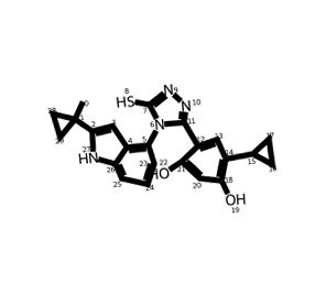 CC1(c2cc3c(-n4c(S)nnc4-c4cc(C5CC5)c(O)cc4O)cccc3[nH]2)CC1